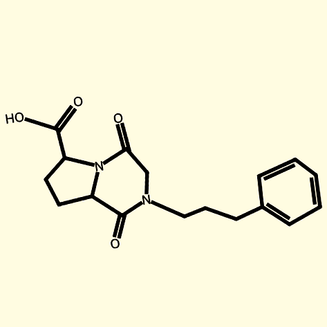 O=C(O)C1CCC2C(=O)N(CCCc3ccccc3)CC(=O)N12